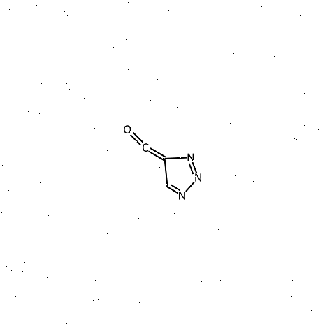 O=C=C1C=NN=N1